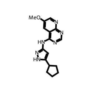 COc1cnc2ncnc(Nc3cc(C4CCCC4)[nH]n3)c2c1